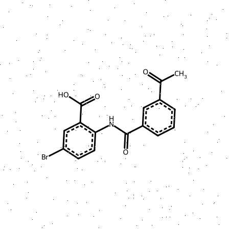 CC(=O)c1cccc(C(=O)Nc2ccc(Br)cc2C(=O)O)c1